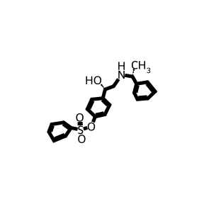 C[C@@H](NC[C@@H](O)c1ccc(OS(=O)(=O)c2ccccc2)cc1)c1ccccc1